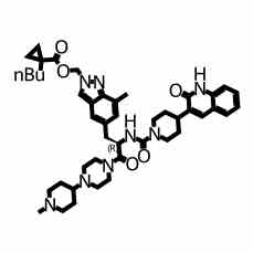 CCCCC1(C(=O)OCn2cc3cc(C[C@@H](NC(=O)N4CCC(c5cc6ccccc6[nH]c5=O)CC4)C(=O)N4CCN(C5CCN(C)CC5)CC4)cc(C)c3n2)CC1